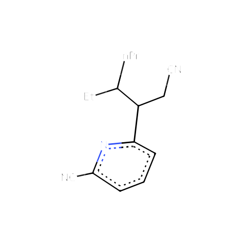 CCCC(CC)C(CC#N)c1cccc(C#N)n1